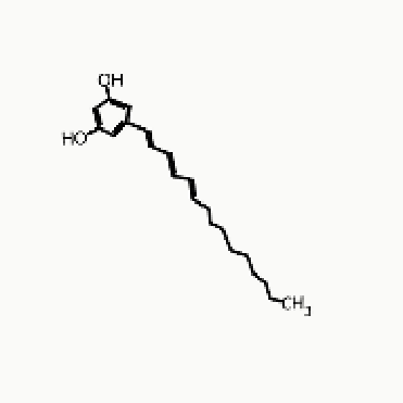 CCCCCCCCCC=CC=CC=Cc1cc(O)cc(O)c1